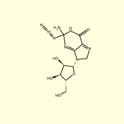 [N-]=[N+]=NC1(N)N=C2C(=NCN2[C@@H]2O[C@H](CO)[C@@H](O)[C@H]2O)C(=O)N1